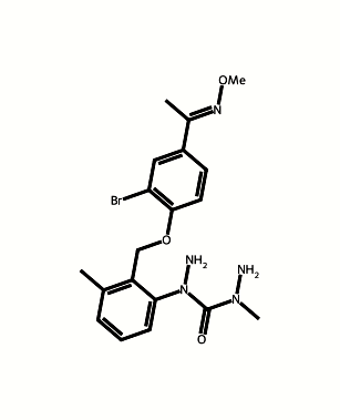 CO/N=C(\C)c1ccc(OCc2c(C)cccc2N(N)C(=O)N(C)N)c(Br)c1